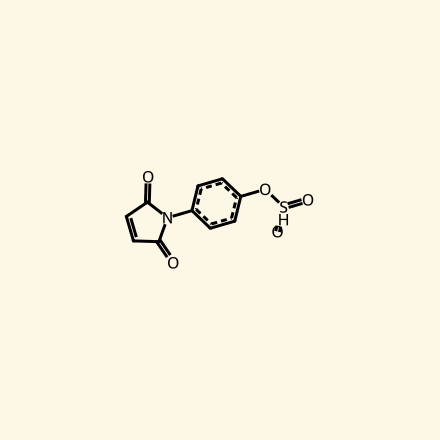 O=C1C=CC(=O)N1c1ccc(O[SH](=O)=O)cc1